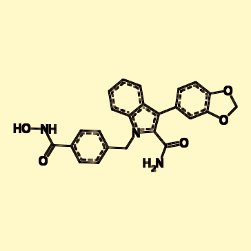 NC(=O)c1c(-c2ccc3c(c2)OCO3)c2ccccc2n1Cc1ccc(C(=O)NO)cc1